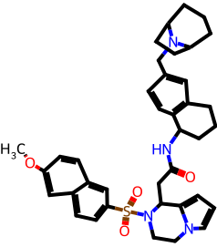 COc1ccc2cc(S(=O)(=O)N3CCn4cccc4C3CC(=O)NC3CCCc4cc(CN5C6CCCC5CC6)ccc43)ccc2c1